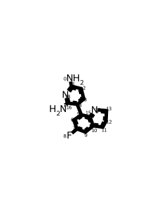 Nc1ccc(-c2cc(F)cc3cccnc23)c(N)n1